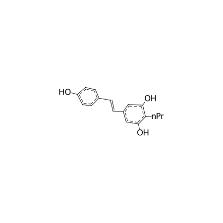 CCCc1c(O)cc(C=Cc2ccc(O)cc2)cc1O